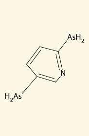 [AsH2]c1ccc([AsH2])nc1